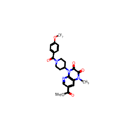 COC(=O)c1cnc2c(c1)n(C)c(=O)c(=O)n2C1CCN(C(=O)c2ccc(OC(F)(F)F)cc2)CC1